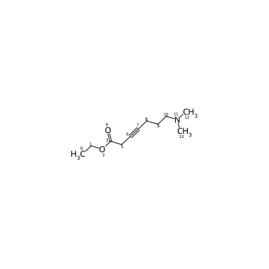 CCOC(=O)CC#CCCCN(C)C